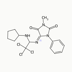 CN1C(=O)/C(=N\C(NC2CCCC2)C(Cl)(Cl)Cl)N(c2ccccc2)C1=O